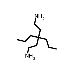 CCCC(CCC)(CCN)CCN